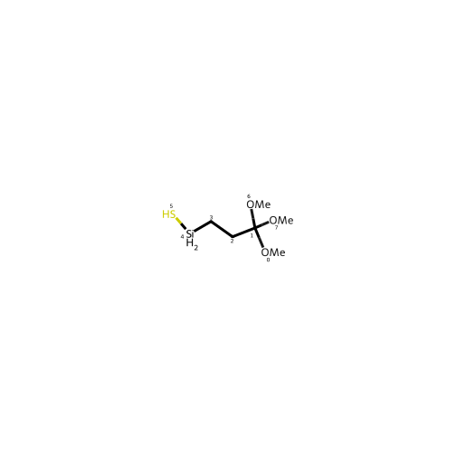 COC(CC[SiH2]S)(OC)OC